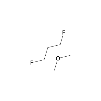 COC.FCCCF